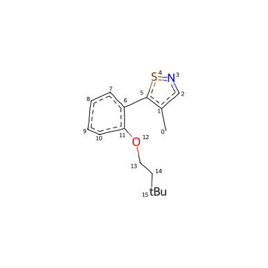 Cc1cnsc1-c1ccccc1OCCC(C)(C)C